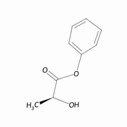 C[C@H](O)C(=O)Oc1ccccc1